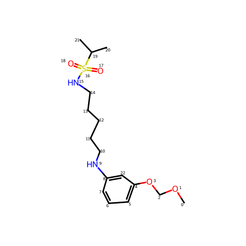 COCOc1cccc(NCCCCCNS(=O)(=O)C(C)C)c1